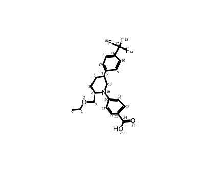 CCOC[C@H]1CC[C@@H](c2ccc(C(F)(F)F)cc2)CN1c1ccc(C(=O)O)cc1